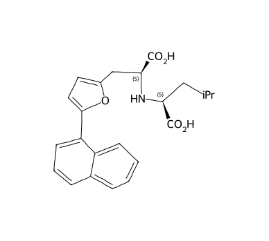 CC(C)C[C@H](N[C@@H](Cc1ccc(-c2cccc3ccccc23)o1)C(=O)O)C(=O)O